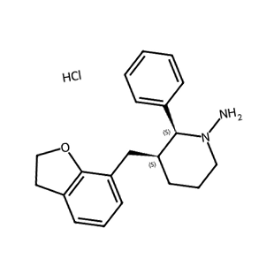 Cl.NN1CCC[C@@H](Cc2cccc3c2OCC3)[C@H]1c1ccccc1